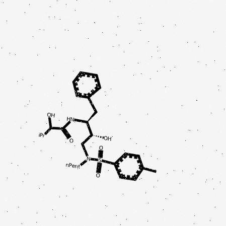 CCCCCN(C[C@@H](O)[C@H](Cc1ccccc1)NC(=O)C(O)C(C)C)S(=O)(=O)c1ccc(C)cc1